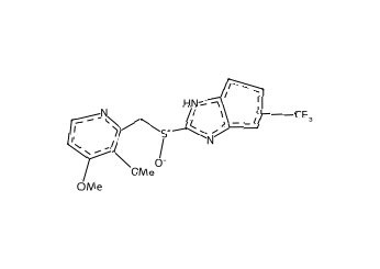 COc1ccnc(C[S+]([O-])c2nc3cc(C(F)(F)F)ccc3[nH]2)c1OC